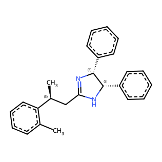 Cc1ccccc1[C@@H](C)CC1=N[C@H](c2ccccc2)[C@H](c2ccccc2)N1